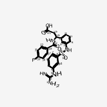 N=C(N)Nc1cccc(S(=O)(=O)Nc2cccc(C(CC(=O)O)NC(=O)c3ccc(F)cc3)c2)c1